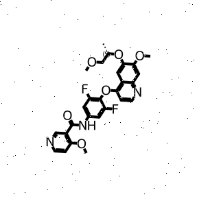 COC[C@H](C)Oc1cc2c(Oc3c(F)cc(NC(=O)c4cnccc4OC)cc3F)ccnc2cc1OC